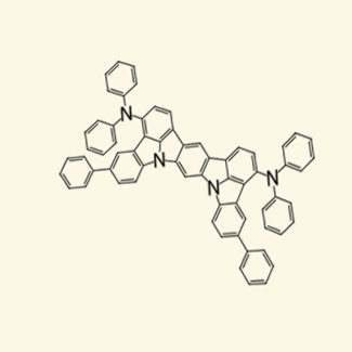 c1ccc(-c2ccc3c(c2)c2c(N(c4ccccc4)c4ccccc4)ccc4c5cc6c7ccc(N(c8ccccc8)c8ccccc8)c8c9cc(-c%10ccccc%10)ccc9n(c6cc5n3c42)c78)cc1